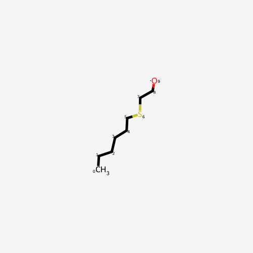 CCCCCCSCC[O]